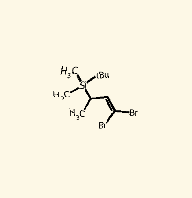 CC(C=C(Br)Br)[Si](C)(C)C(C)(C)C